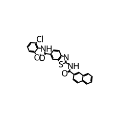 O=C(Nc1nc2ccc(C(=O)Nc3c(Cl)cccc3Cl)cc2s1)c1ccc2ccccc2c1